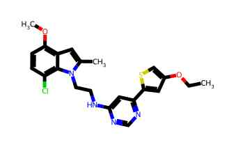 CCOc1csc(-c2cc(NCCn3c(C)cc4c(OC)ccc(Cl)c43)ncn2)c1